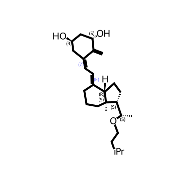 C=C1/C(=C\C=C2/CCC[C@]3(C)[C@@H]([C@H](C)OCCC(C)C)CC[C@@H]23)C[C@@H](O)C[C@@H]1O